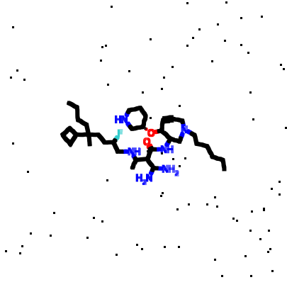 CCCCCCN1CC#CC(O[C@H]2CCCNC2)C(NC(=O)C(C(N)N)C(C)NCC(F)CCC(C)(CCCC)C2CCC2)C1